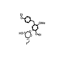 CCOc1ccc(Cc2cc([C@H]3C[C@@H](O)C[C@@H](CF)O3)c(OCC)cc2OC)cc1